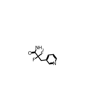 NC(=O)C(F)(F)Cc1cccnc1